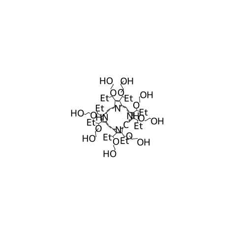 CCC(OCCO)C1=C(C(CC)OCCO)c2cc3[nH]c(cc4nc(cc5[nH]c(cc1n2)c(C(CC)OCCO)c5C(CC)OCCO)C(C(CC)OCCO)=C4C(CC)OCCO)c(C(CC)OCCO)c3C(CC)OCCO